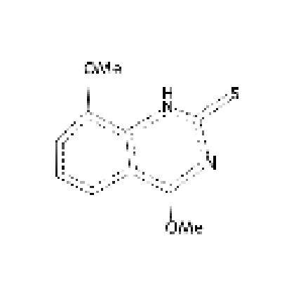 COc1nc(=S)[nH]c2c(OC)cccc12